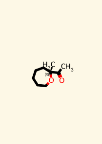 CC(=O)[C@@]1(C)CCCCCO1